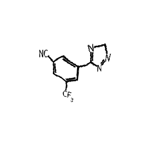 N#Cc1cc(C2=NCN=N2)cc(C(F)(F)F)c1